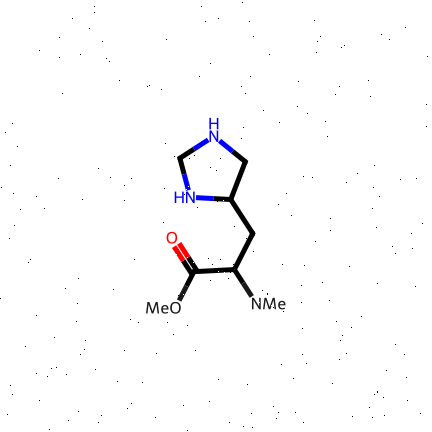 CNC(CC1CNCN1)C(=O)OC